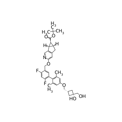 Cc1cc(OC[C@H]2C[C@](O)(CO)C2)cc(C)c1-c1cc(COc2cc3c(cn2)[C@H]2[C@@H](C3)[C@@H]2C(=O)OC(C)(C)C)c(F)cc1F